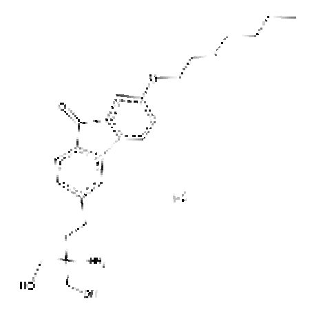 CCCCCCCOc1ccc2c(c1)C(=O)c1ccc(CCC(N)(CO)CO)cc1-2.Cl